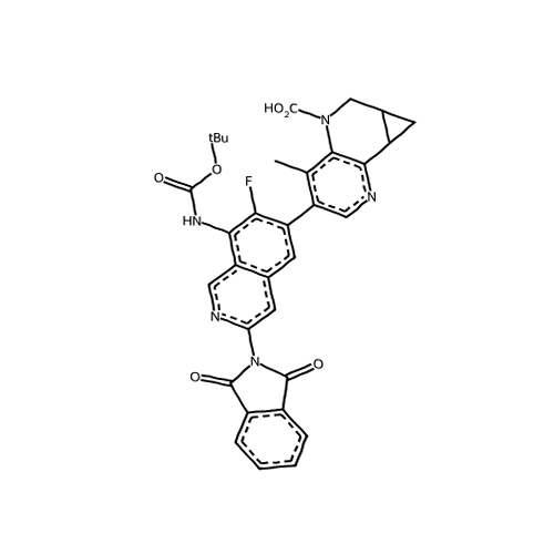 Cc1c(-c2cc3cc(N4C(=O)c5ccccc5C4=O)ncc3c(NC(=O)OC(C)(C)C)c2F)cnc2c1N(C(=O)O)CC1CC21